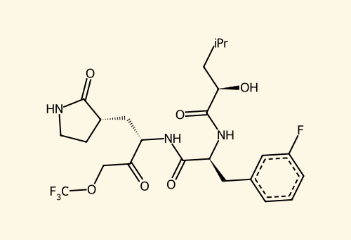 CC(C)C[C@@H](O)C(=O)N[C@@H](Cc1cccc(F)c1)C(=O)N[C@@H](C[C@@H]1CCNC1=O)C(=O)COC(F)(F)F